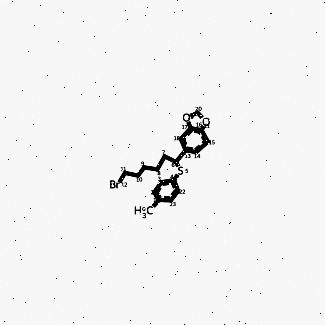 Cc1ccc(SC(CCCCCBr)c2ccc3c(c2)OCO3)cc1